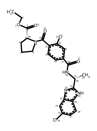 CCOC(=O)[C@H]1CCCN1C(=O)c1ccc(C(=O)N[C@H](C)c2nc3cc(Cl)ccc3[nH]2)cc1Cl